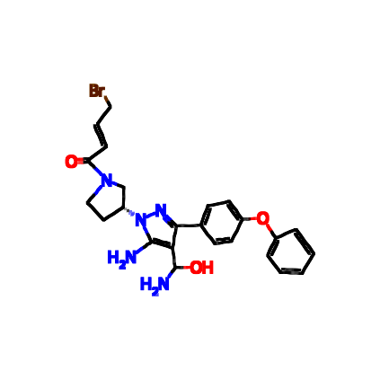 Nc1c(C(N)O)c(-c2ccc(Oc3ccccc3)cc2)nn1[C@@H]1CCN(C(=O)/C=C/CBr)C1